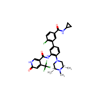 C[C@@H]1CN(c2ccc(-c3cc(C(=O)NC4CC4)ccc3F)cc2NC(=O)c2c[nH]c(=O)cc2C(F)(F)F)C[C@H](C)N1C